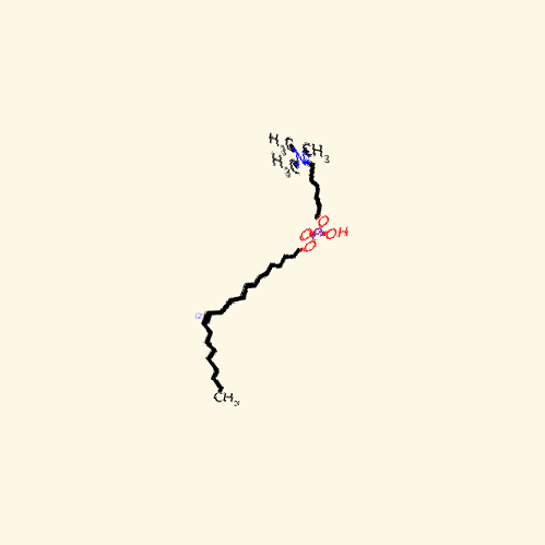 CCCCCCCC/C=C\CCCCCCCCCCCCOP(=O)(O)OCCCCCC[N+](C)(C)C